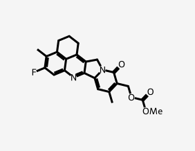 COC(=O)OCc1c(C)cc2n(c1=O)Cc1c-2nc2cc(F)c(C)c3c2c1CCC3